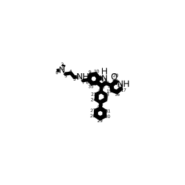 CN(C)CCCNCc1ccc2[nH]c(-c3ccc[nH]c3=O)c(C3C=CC(c4ccccc4)=CC3)c2c1